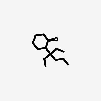 CCCC(CC)(CC)C1CCCCC1=O